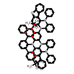 CC(C)(C)c1ccc(-c2cccc(-c3ccc(C(C)(C)C)cc3)c2N2c3cc4c(cc3B3c5ccccc5N(c5ccccc5)c5c3c2cc2oc3ccccc3c52)B2c3ccccc3N(c3ccccc3)c3c2c(cc2oc5ccccc5c32)N4c2ccccc2)cc1